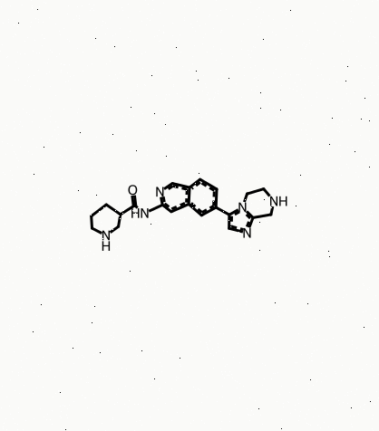 O=C(Nc1cc2cc(-c3cnc4n3CCNC4)ccc2cn1)C1CCCNC1